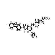 Cc1cn(-c2cc(CN3CCC[C@H](NC(=O)OC(C)(C)C)C3)cc(NC(=O)c3ccc4c(c3)oc3ccccc34)c2)cn1